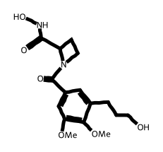 COc1cc(C(=O)N2CCC2C(=O)NO)cc(CCCO)c1OC